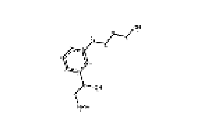 CNCC(O)c1cccc(OCCCO)c1